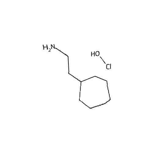 NCCC1CCCCC1.OCl